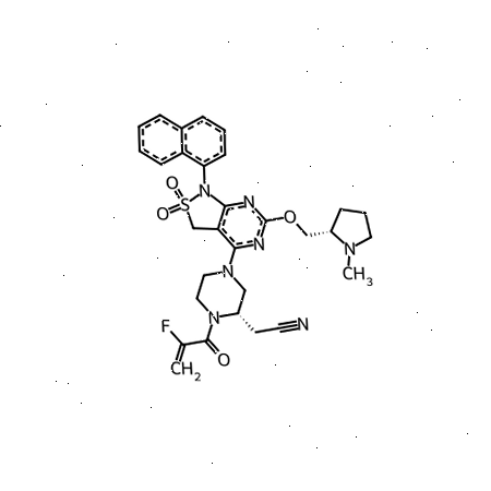 C=C(F)C(=O)N1CCN(c2nc(OC[C@@H]3CCCN3C)nc3c2CS(=O)(=O)N3c2cccc3ccccc23)C[C@@H]1CC#N